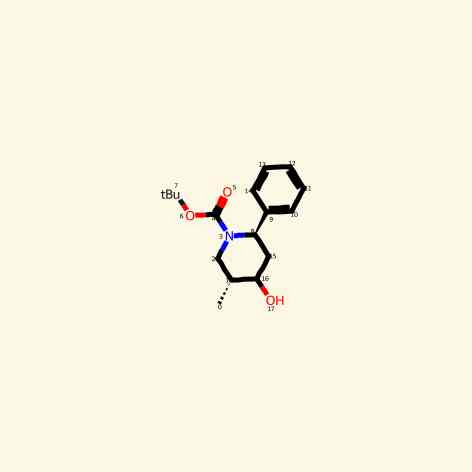 C[C@@H]1CN(C(=O)OC(C)(C)C)[C@@H](c2ccccc2)CC1O